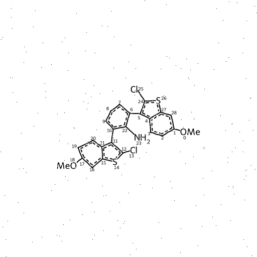 COc1ccc2c(-c3cccc(-c4c(Cl)sc5cc(OC)ccc45)c3N)c(Cl)sc2c1